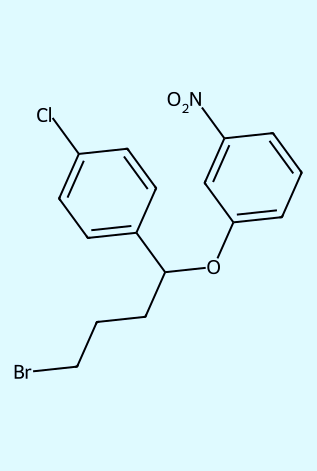 O=[N+]([O-])c1cccc(OC(CCCBr)c2ccc(Cl)cc2)c1